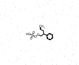 C=CCC(COOS(=O)(=O)O)c1ccccc1